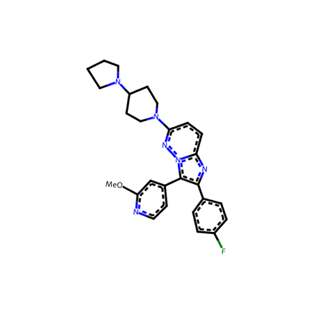 COc1cc(-c2c(-c3ccc(F)cc3)nc3ccc(N4CCC(N5CCCC5)CC4)nn23)ccn1